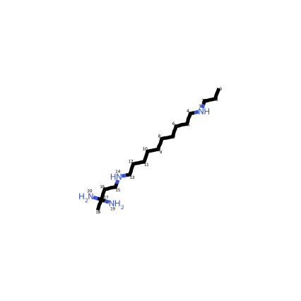 CCCNCCCCCCCCCCNCCC(C)(N)N